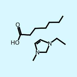 CCCCCCC(=O)O.CCN1C=CN(C)C1